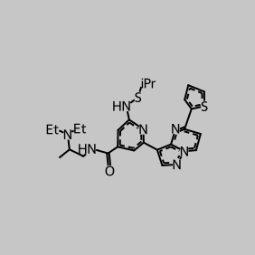 CCN(CC)C(C)CNC(=O)c1cc(NSC(C)C)nc(-c2cnn3ccc(-c4cccs4)nc23)c1